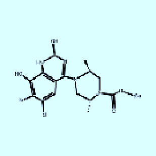 C[C@@H]1CN(C2=NC(O)Nc3c2cc(Cl)c(Br)c3O)[C@@H](C)CN1C(=O)OC(C)(C)C